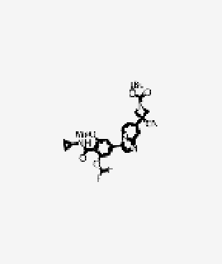 COc1cc(-c2cnc3cc(C4(C#N)CN(C(=O)OC(C)(C)C)C4)ccn23)cc(OC(F)F)c1C(=O)NC1CC1